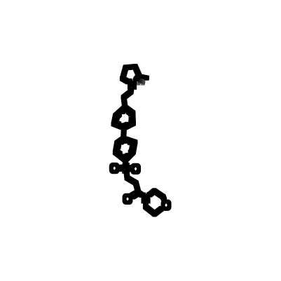 C[C@@H]1CCCN1CCc1ccc(-c2ccc(S(=O)(=O)CCC(=O)N3CCOCC3)cc2)cc1